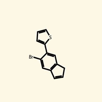 Brc1cc2c(cc1-c1cccs1)CC=C2